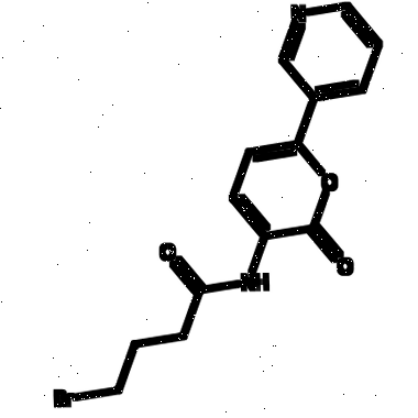 O=C(CCCBr)Nc1ccc(-c2cccnc2)oc1=O